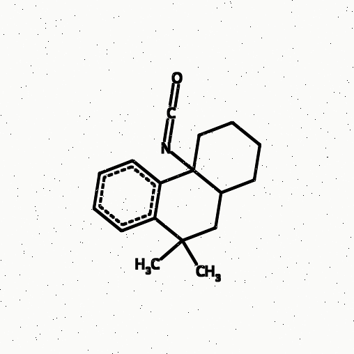 CC1(C)CC2CCCCC2(N=C=O)c2ccccc21